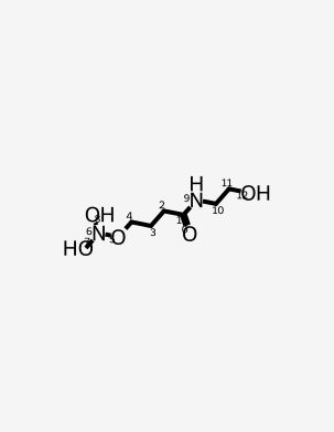 O=C(CCCON(O)O)NCCO